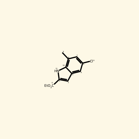 CCOC(=O)c1cc2cc(Cl)cc(C)c2[nH]1